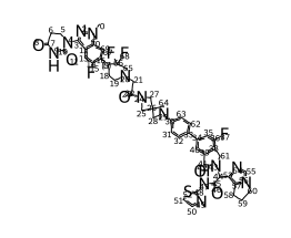 Cn1nc(N2CCC(=O)NC2=O)c2cc(F)c([C@@H]3CCN(CC(=O)N4CC5(C4)CN(c4ccc(-c6cc(F)c7c(c6)C(=O)N(C(C(=O)Nc6nccs6)c6ncn8c6CCC8)C7)cc4)C5)CC3(F)F)cc21